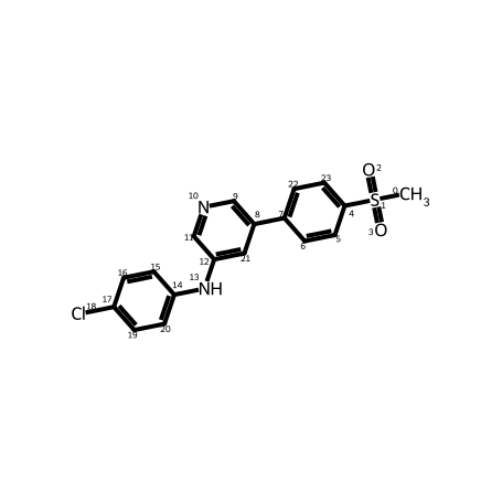 CS(=O)(=O)c1ccc(-c2cncc(Nc3ccc(Cl)cc3)c2)cc1